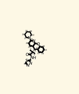 CC(C)(C(=O)Nc1nncs1)[C@H]1c2ccccc2Oc2nc(N3CCCCC3)ccc21